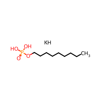 CCCCCCCCCOP(=O)(O)O.[KH]